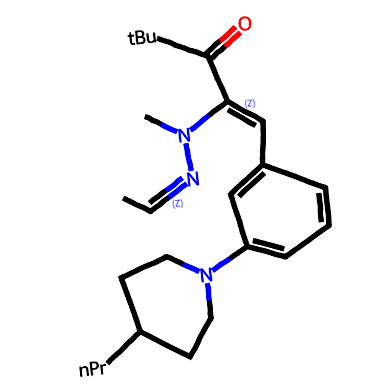 C/C=N\N(C)/C(=C\c1cccc(N2CCC(CCC)CC2)c1)C(=O)C(C)(C)C